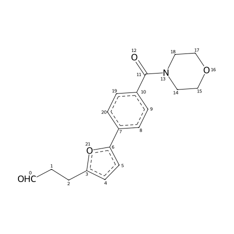 O=CCCc1ccc(-c2ccc(C(=O)N3CCOCC3)cc2)o1